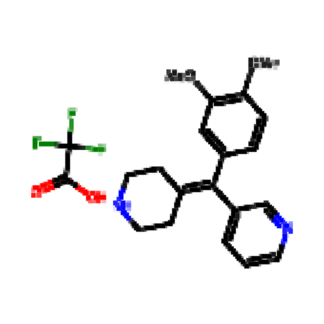 COc1ccc(C(=C2CCNCC2)c2cccnc2)cc1OC.O=C(O)C(F)(F)F